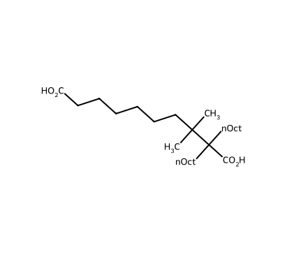 CCCCCCCCC(CCCCCCCC)(C(=O)O)C(C)(C)CCCCCCC(=O)O